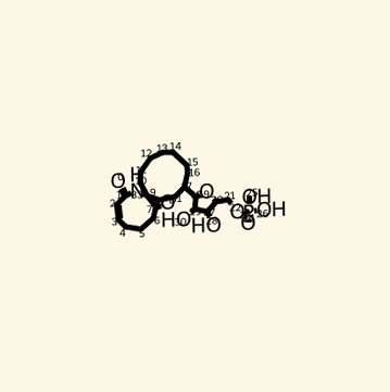 O=C1/C=C\CCCC(=O)C2(CCCCCCCC(C3OC(COP(=O)(O)O)C(O)C3O)CC2)N1